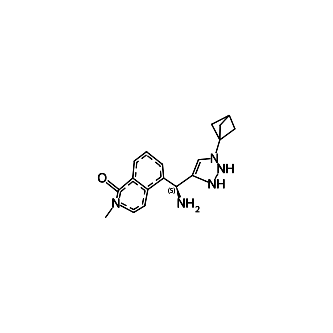 Cn1ccc2c([C@H](N)C3=CN(C45CC(C4)C5)NN3)cccc2c1=O